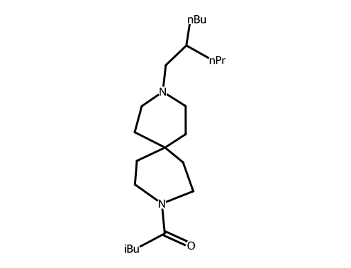 CCCCC(CCC)CN1CCC2(CC1)CCN(C(=O)C(C)CC)CC2